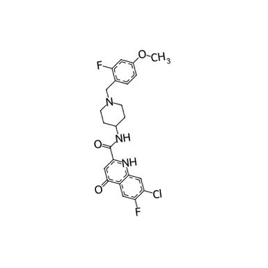 COc1ccc(CN2CCC(NC(=O)c3cc(=O)c4cc(F)c(Cl)cc4[nH]3)CC2)c(F)c1